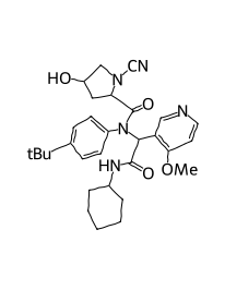 COc1ccncc1C(C(=O)NC1CCCCC1)N(C(=O)C1CC(O)CN1C#N)c1ccc(C(C)(C)C)cc1